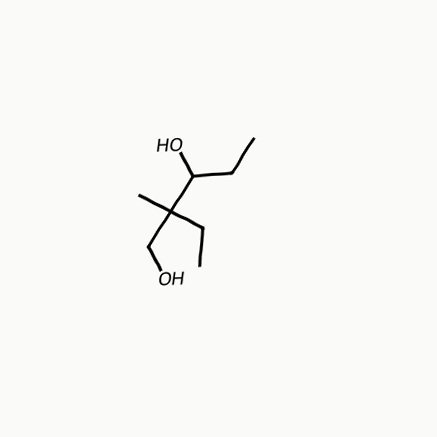 CCC(O)C(C)(CC)CO